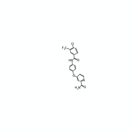 NC(=O)c1cc(Oc2ccc(NC(=O)c3ccc(Cl)c(C(F)(F)F)c3)cc2)ccn1